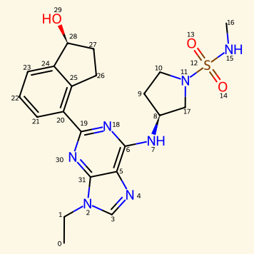 CCn1cnc2c(N[C@H]3CCN(S(=O)(=O)NC)C3)nc(-c3cccc4c3CC[C@@H]4O)nc21